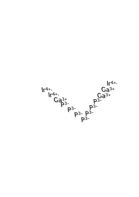 [Ga+3].[Ga+3].[Ga+3].[Ir+4].[Ir+4].[Ir+4].[P-3].[P-3].[P-3].[P-3].[P-3].[P-3].[P-3]